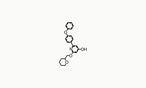 Oc1cc(OCC2CCCCO2)nc(-c2ccc(Oc3ccccc3)cc2)c1